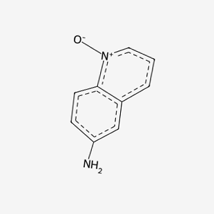 Nc1ccc2c(ccc[n+]2[O-])c1